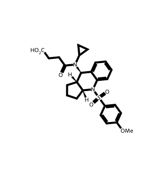 COc1ccc(S(=O)(=O)N2c3ccccc3[C@H](N(C(=O)CCC(=O)O)C3CC3)[C@H]3CCC[C@H]32)cc1